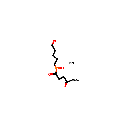 COC(=O)CCC(=O)[PH](=O)CCCCCO.[NaH]